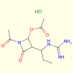 CCC(NC(=N)N)C1C(=O)N(C(C)=O)C1OC(C)=O.Cl